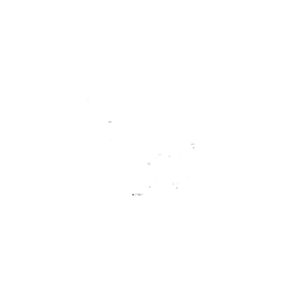 CCc1ccc(OC)c(CCCCCO)c1